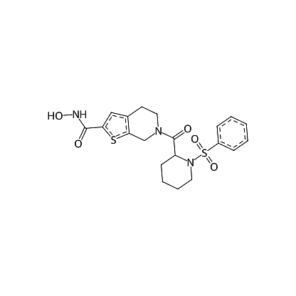 O=C(NO)c1cc2c(s1)CN(C(=O)C1CCCCN1S(=O)(=O)c1ccccc1)CC2